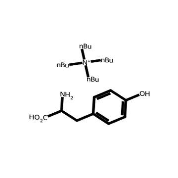 CCCC[N+](CCCC)(CCCC)CCCC.NC(Cc1ccc(O)cc1)C(=O)O